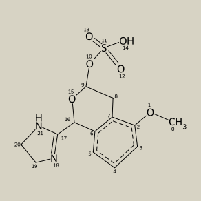 COc1cccc2c1CC(OS(=O)(=O)O)OC2C1=NCCN1